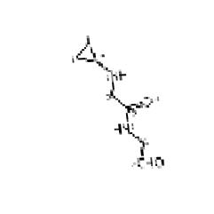 O=[C]CNC(=O)CNC1CC1